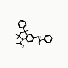 CC(=O)N1c2ccc(NC(=O)c3ccccc3)cc2C(C)(c2ccccc2)CC1(C)C